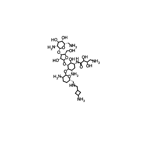 NC[C@@H](O)C(O)C(=O)N[C@@H]1C[C@H](N)[C@@H](O[C@H]2O[C@H](CNCC3CC(N)C3)CC[C@H]2N)[C@H](O[C@@H]2O[C@H](CO)[C@@H](O[C@H]3O[C@@H](CN)[C@@H](O)[C@H](O)[C@H]3N)[C@H]2O)[C@H]1O